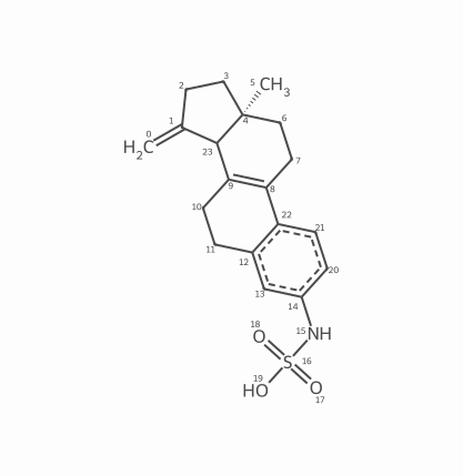 C=C1CC[C@@]2(C)CCC3=C(CCc4cc(NS(=O)(=O)O)ccc43)C12